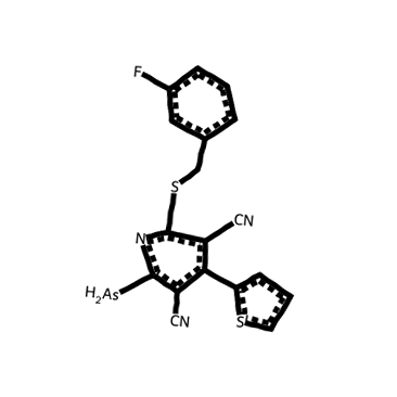 N#Cc1c([AsH2])nc(SCc2cccc(F)c2)c(C#N)c1-c1cccs1